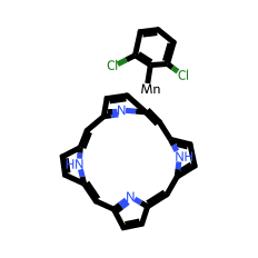 C1=Cc2cc3ccc(cc4nc(cc5ccc(cc1n2)[nH]5)C=C4)[nH]3.Clc1cccc(Cl)[c]1[Mn]